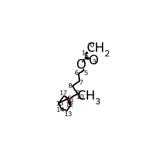 C=CC(=O)OCCCCC(C)C1=C2CCC(C2)C1